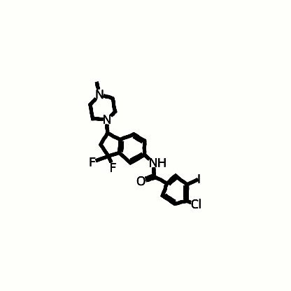 CN1CCN(C2CC(F)(F)c3cc(NC(=O)c4ccc(Cl)c(I)c4)ccc32)CC1